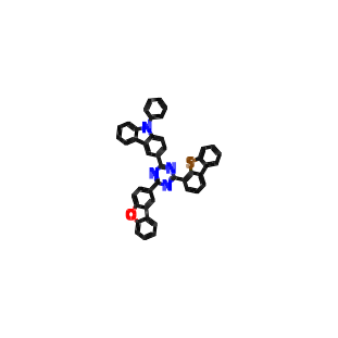 c1ccc(-n2c3ccccc3c3cc(-c4nc(-c5ccc6oc7ccccc7c6c5)nc(-c5cccc6c5sc5ccccc56)n4)ccc32)cc1